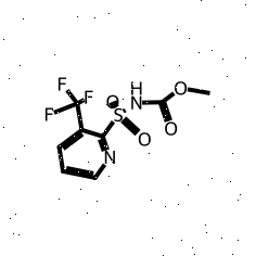 COC(=O)NS(=O)(=O)c1ncccc1C(F)(F)F